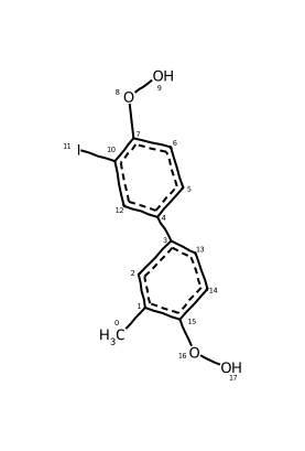 Cc1cc(-c2ccc(OO)c(I)c2)ccc1OO